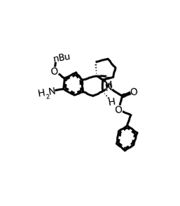 CCCCOc1cc2c(cc1N)C[C@H]1[C@H]3CCCC[C@@]23CCN1C(=O)OCc1ccccc1